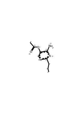 CCCc1ncc(OC(C)=O)c(N)n1